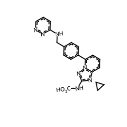 C1CC1.O=C(O)Nc1nc2cccc(-c3ccc(CNc4cccnn4)cc3)n2n1